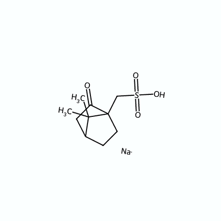 CC1(C)C2CCC1(CS(=O)(=O)O)C(=O)C2.[Na]